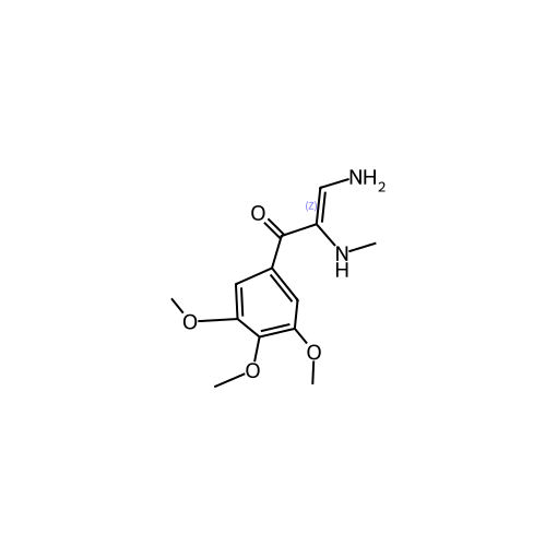 CN/C(=C\N)C(=O)c1cc(OC)c(OC)c(OC)c1